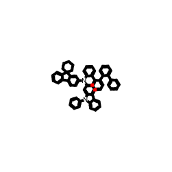 c1ccc(-c2ccccc2-c2ccccc2-c2ccccc2N(c2ccc3c(c2)C2(CCCCC2)c2ccccc2-3)c2ccc3c4ccccc4n(-c4ccccc4)c3c2)cc1